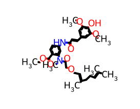 CCOC(=O)c1ccc(NC(=O)C=Cc2cc(OC)c(O)c(OC)c2)cc1N(C)C(=O)COC/C=C(\C)CCC=C(C)C